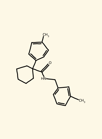 Cc1ccc(C2(C(=O)NCc3cccc(C)c3)CCCCC2)cc1